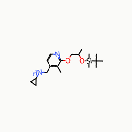 Cc1c(CNC2CC2)ccnc1OCC(C)O[Si](C)(C)C(C)(C)C